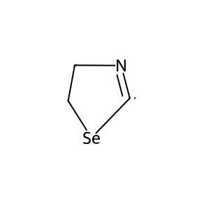 [C]1=NCC[Se]1